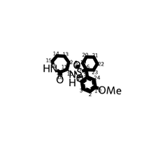 COc1cccc(C2(S(=O)(=O)N[C@H]3CCCCNC3=O)CCCCC2)c1